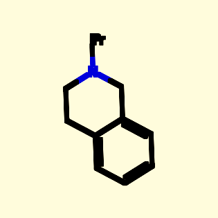 CC(C)N1CCc2ccccc2C1